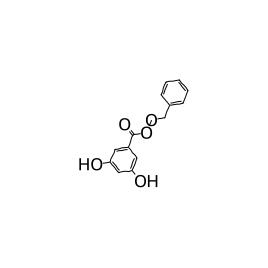 O=C(OOCc1ccccc1)c1cc(O)cc(O)c1